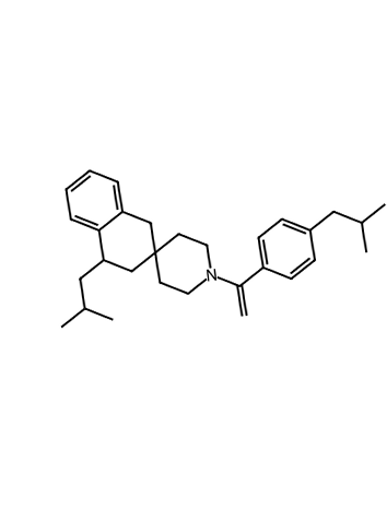 C=C(c1ccc(CC(C)C)cc1)N1CCC2(CC1)Cc1ccccc1C(CC(C)C)C2